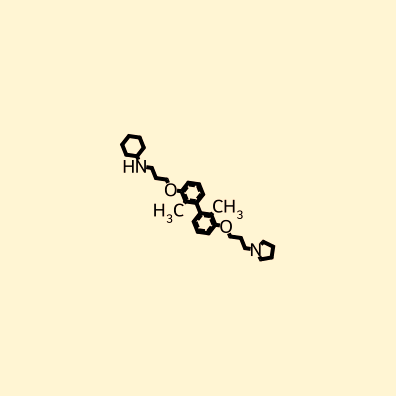 Cc1c(OCCCNC2CCCCC2)cccc1-c1cccc(OCCCN2CCCC2)c1C